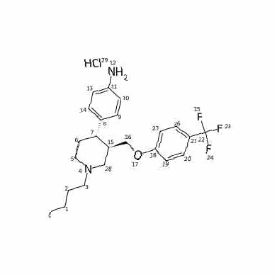 CCCCN1CC[C@H](c2ccc(N)cc2)[C@@H](COc2ccc(C(F)(F)F)cc2)C1.Cl